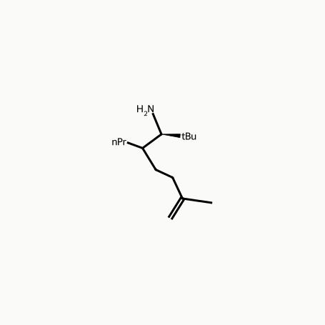 C=C(C)CCC(CCC)[C@@H](N)C(C)(C)C